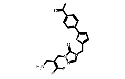 CC(=O)c1ccc(-c2ccc(Cn3cnn(CC(CN)=C(F)F)c3=O)s2)cc1